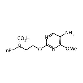 CCCN(CCOc1ncc(N)c(OC)n1)C(=O)O